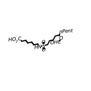 CCCCCC(CCCCS(=O)(=O)NCCCCCCC(=O)O)OC=O